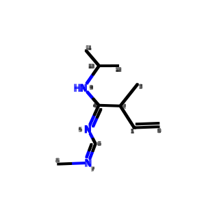 C=CC(C)/C(=N\C=N/C)NC(C)C